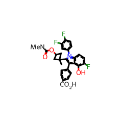 CNC(=O)OC1CC(C)(c2c(-c3ccc(C(=O)O)cc3)c3c(O)c(F)ccc3n2-c2ccc(F)c(F)c2)C1